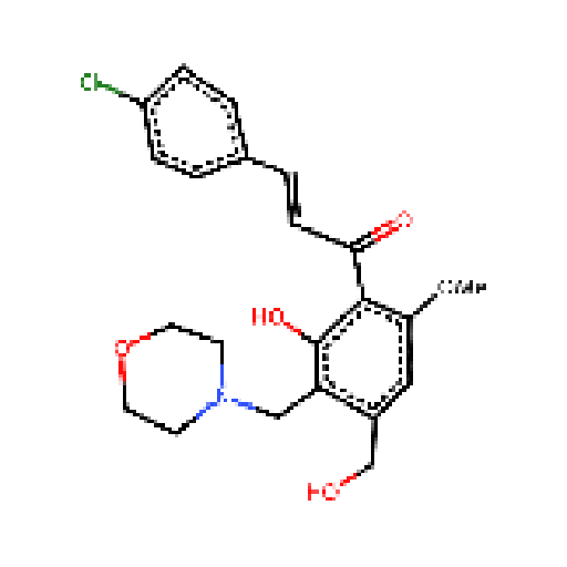 COc1cc(CO)c(CN2CCOCC2)c(O)c1C(=O)/C=C/c1ccc(Cl)cc1